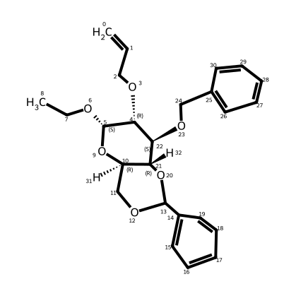 C=CCO[C@H]1[C@@H](OCC)O[C@@H]2COC(c3ccccc3)O[C@H]2[C@@H]1OCc1ccccc1